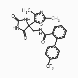 Cc1nc(C)c(C2(CNC(=O)c3ccccc3-c3ccc(C(F)(F)F)cc3)NC(=O)NC2=O)s1